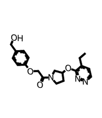 CCc1ccnnc1OC1CCN(C(=O)COc2ccc(CO)cc2)C1